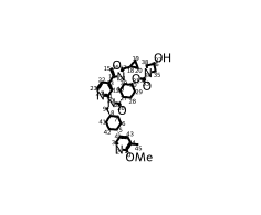 COc1ncc([C@H]2CC[C@H](CN(c3cc(-c4coc(C5CC5)n4)ccn3)C(=O)[C@H]3CC[C@H](OC(=O)N4CC(O)C4)CC3)CC2)cc1C